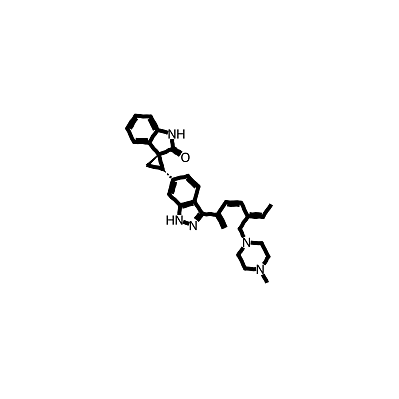 C=C(/C=C\C(=C/C)CN1CCN(C)CC1)c1n[nH]c2cc([C@@H]3C[C@@]34C(=O)Nc3ccccc34)ccc12